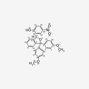 COc1ccc(C(OC)(c2ccccc2)c2ccc(OC)cc2)cc1.O=[N+]([O-])c1ccc(O)cc1